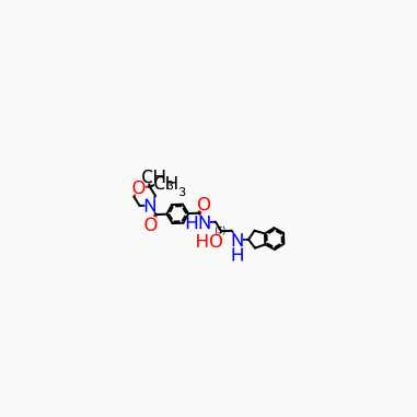 CC1(C)CN(C(=O)c2ccc(C(=O)NC[C@@H](O)CNC3Cc4ccccc4C3)cc2)CCO1